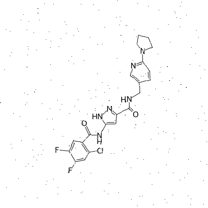 O=C(NCc1ccc(N2CCCC2)nc1)c1cc(NC(=O)c2cc(F)c(F)cc2Cl)[nH]n1